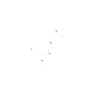 N[C@@H](CCC(=O)N[C@@H](CSCCC=O)C(=O)NCC(=O)O)C(=O)O